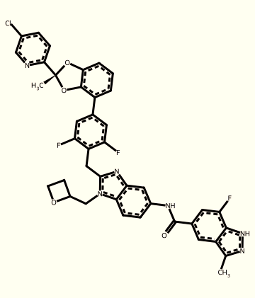 Cc1n[nH]c2c(F)cc(C(=O)Nc3ccc4c(c3)nc(Cc3c(F)cc(-c5cccc6c5O[C@](C)(c5ccc(Cl)cn5)O6)cc3F)n4CC3CCO3)cc12